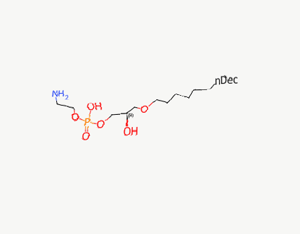 CCCCCCCCCCCCCCCCOC[C@@H](O)COP(=O)(O)OCCN